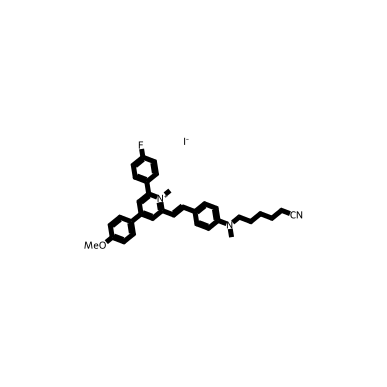 COc1ccc(-c2cc(/C=C/c3ccc(N(C)CCCCCC#N)cc3)[n+](C)c(-c3ccc(F)cc3)c2)cc1.[I-]